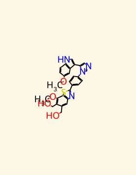 COc1ccc2[nH]cc(-c3cncn3-c3ccc(-c4nc5cc(CO)c(CO)c(OC)c5s4)cc3)c2c1